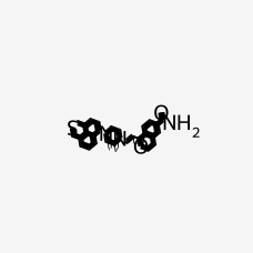 C[C@@H]1CN(c2ccc3c4c(cccc24)CSC3)CCN1CC[C@@H]1OCCc2cc(C(N)=O)ccc21